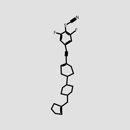 N#CSc1c(F)cc(C#CC2=CCC(C3CCC(CC4=CCCC4)CC3)CC2)cc1F